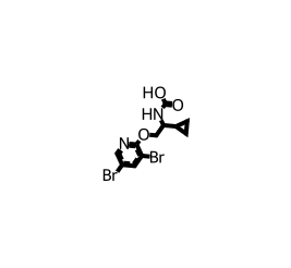 O=C(O)NC(COc1ncc(Br)cc1Br)C1CC1